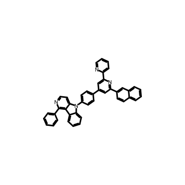 c1ccc(-c2nccc3c2c2ccccc2n3-c2ccc(-c3cc(-c4ccc5ccccc5c4)nc(-c4ccccn4)c3)cc2)cc1